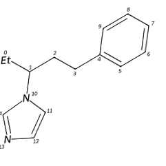 CCC(CCc1ccccc1)n1ccnc1